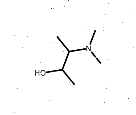 CC(O)C(C)N(C)C